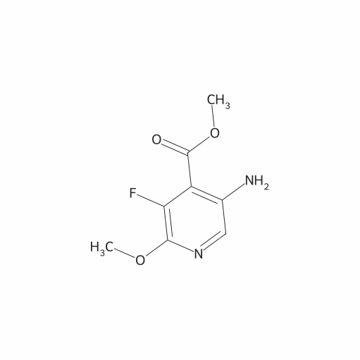 COC(=O)c1c(N)cnc(OC)c1F